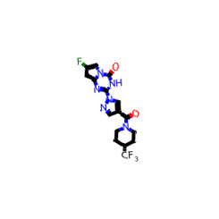 O=C(c1cnn(-c2nc3cc(F)cn3c(=O)[nH]2)c1)N1CCC(C(F)(F)F)CC1